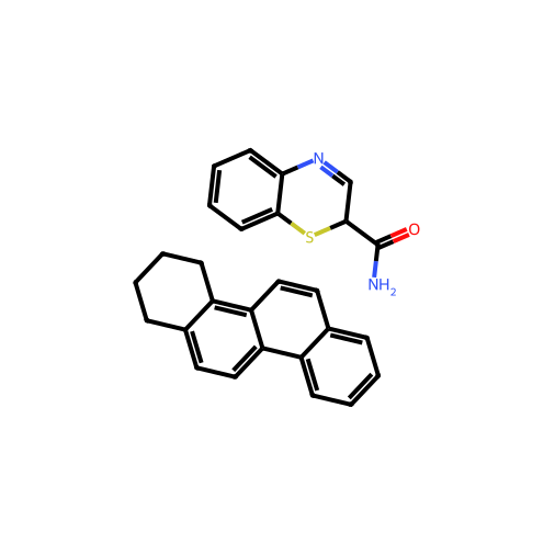 NC(=O)C1C=Nc2ccccc2S1.c1ccc2c(c1)ccc1c3c(ccc12)CCCC3